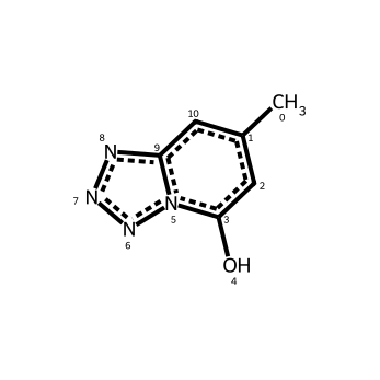 Cc1cc(O)n2nnnc2c1